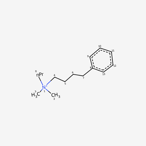 CCC[N+](C)(C)CCCCc1ccccc1